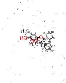 C/C(=C/C(=O)O[Si](c1ccccc1)(c1ccccc1)C(C)(C)C)C(=O)O